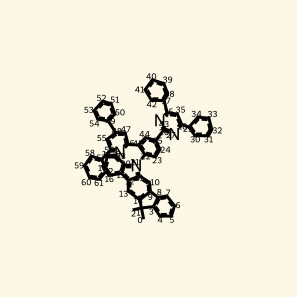 CC1(C)c2ccccc2-c2cc3c(cc21)c1ccccc1n3-c1ccc(-c2nc(-c3ccccc3)cc(-c3ccccc3)n2)cc1-c1cc(-c2ccccc2)cc(-c2ccccc2)n1